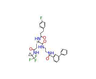 O=C(CCc1ccc(F)cc1)N[C@@H](CCC(=O)NC1(C(F)(F)F)CC1)C(=O)NCCNC(=O)c1cccc(-c2ccccc2)c1